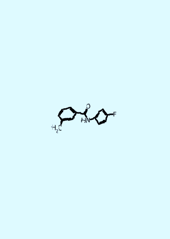 [CH2]c1cccc(C(=O)Nc2ccc(F)cc2)c1